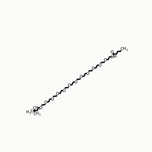 CCCCC(=O)NCCOCCOCCOCCOCCOCCOCCOCCOCCOCCOCCOCCOCCC(C)(C)C